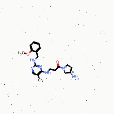 N#Cc1cnc(NCc2ccccc2OC(F)(F)F)nc1NCCC(=O)N1CC[C@@H](N)C1